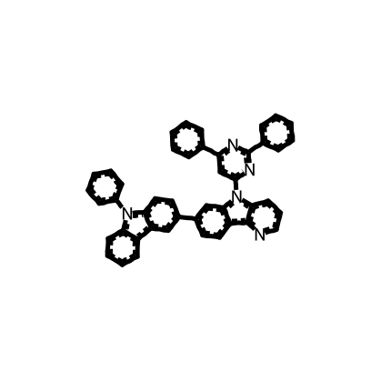 c1ccc(-c2cc(-n3c4cc(-c5ccc6c(c5)c5ccccc5n6-c5ccccc5)ccc4c4ncccc43)nc(-c3ccccc3)n2)cc1